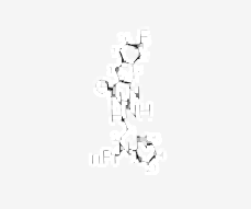 CCCN(CCCNc1ncc(Cc2ccc(F)cc2)c(=O)[nH]1)c1ccccn1